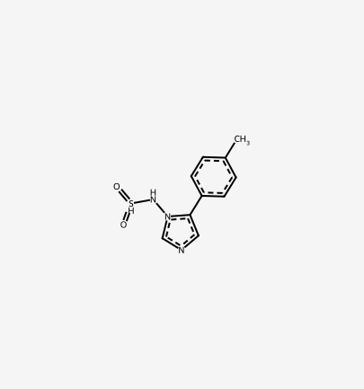 Cc1ccc(-c2cncn2N[SH](=O)=O)cc1